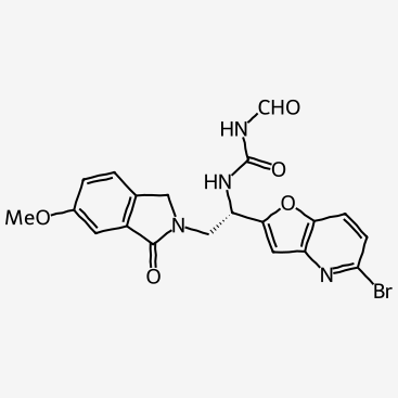 COc1ccc2c(c1)C(=O)N(C[C@H](NC(=O)NC=O)c1cc3nc(Br)ccc3o1)C2